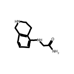 NC(=O)CNc1cccc2c1CCNC2